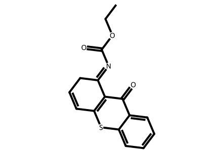 CCOC(=O)N=C1CC=Cc2sc3ccccc3c(=O)c21